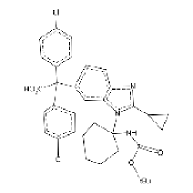 CC(C)(C)OC(=O)NC1(n2c(C3CC3)nc3ccc(C(C(=O)O)(c4ccc(Cl)cc4)c4ccc(Cl)cc4)cc32)CCCCC1